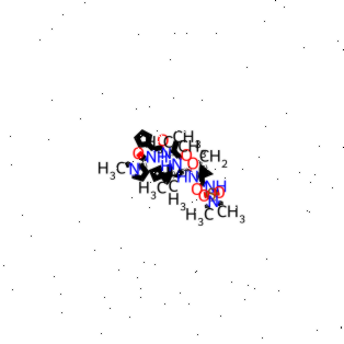 C=C[C@@H]1C[C@]1(NC(=O)[C@@H]1C[C@@]2(CN1C(=O)[C@@H](NC(=O)C(NC(=O)[C@@H]1CCCN1CC)C1CCCC1)C(C)(C)C)C(C)(C)C21CCC1)C(=O)NS(=O)(=O)N(CC)CC